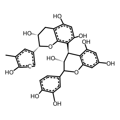 Cc1cc([C@H]2Oc3c(c(O)cc(O)c3[C@H]3c4c(O)cc(O)cc4OC(c4ccc(O)c(O)c4)[C@@H]3O)C[C@H]2O)ccc1O